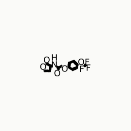 O=C(COc1ccc(OC(F)(F)F)cc1)NC1CCOC1=O